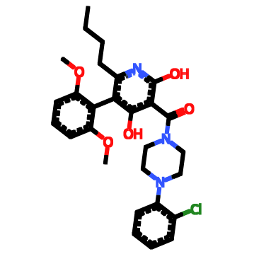 CCCCc1nc(O)c(C(=O)N2CCN(c3ccccc3Cl)CC2)c(O)c1-c1c(OC)cccc1OC